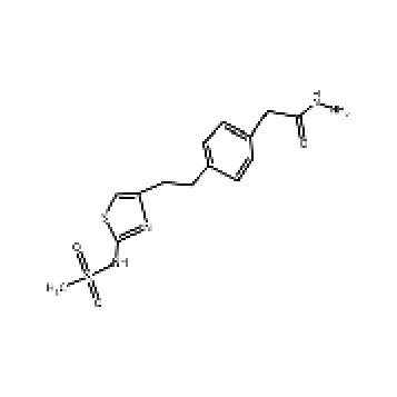 CS(=O)(=O)Nc1nc(CCc2ccc(CC(=O)NN)cc2)cs1